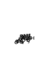 CC1CCCN1Cc1cc(-c2nc(-c3ccc4c(=O)[nH]cc(Cl)c4c3)c(N)nc2F)ccc1C1CCOCC1